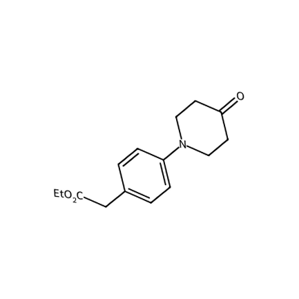 CCOC(=O)Cc1ccc(N2CCC(=O)CC2)cc1